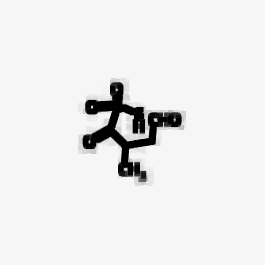 CC(CC=O)C(=O)S(=O)(=O)S